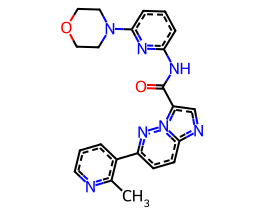 Cc1ncccc1-c1ccc2ncc(C(=O)Nc3cccc(N4CCOCC4)n3)n2n1